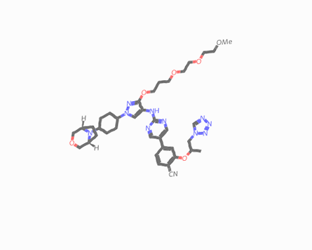 COCCOCCOCCCOc1nn(C2CCC(N3[C@@H]4CC[C@H]3COC4)CC2)cc1Nc1ncc(-c2ccc(C#N)c(OC(C)Cn3cnnn3)c2)cn1